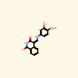 O=C1NC(=O)c2ccccc2/C1=C/Nc1ccc(C(=O)O)c(O)c1